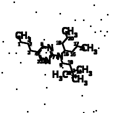 CCCCc1cnc(N(CCC(C)(C)C)C(CCC)CCC)nc1